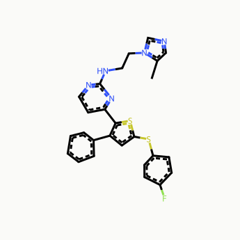 Cc1cncn1CCNc1nccc(-c2sc(Sc3ccc(F)cc3)cc2-c2ccccc2)n1